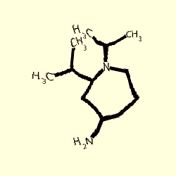 CC(C)C1CC(N)CCCN1C(C)C